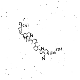 Cc1c(Nc2nccc3cc(CN4CC[C@@H](C(=O)O)C4)cnc23)cccc1-c1cccc(-c2nc3cc(CN[C@@H](C)CO)cc(C#N)c3o2)c1C